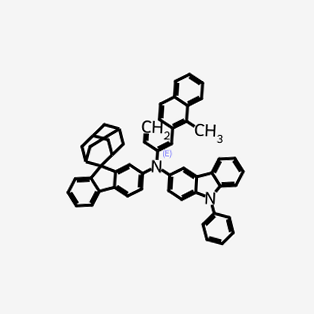 C=C/C(=C\c1ccc2ccccc2c1C)N(c1ccc2c(c1)C1(c3ccccc3-2)C2CC3CC(C2)CC1C3)c1ccc2c(c1)c1ccccc1n2-c1ccccc1